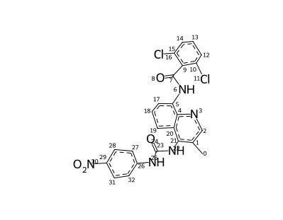 Cc1cnc2c(NC(=O)c3c(Cl)cccc3Cl)cccc2c1NC(=O)Nc1ccc([N+](=O)[O-])cc1